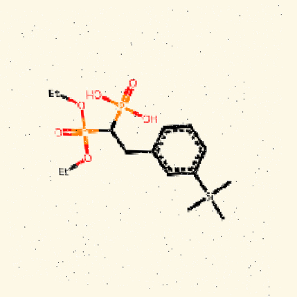 CCOP(=O)(OCC)C(Cc1cccc([Si](C)(C)C)c1)P(=O)(O)O